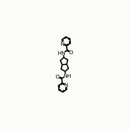 O=C(NC1CC2CC(NC(=O)c3ccccn3)CC2C1)c1ccccn1